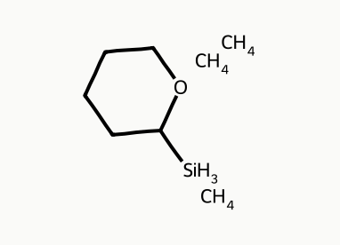 C.C.C.[SiH3]C1CCCCO1